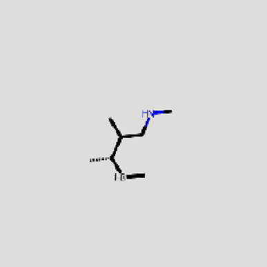 CB[C@H](C)C(C)CNC